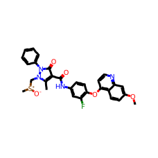 COc1ccc2c(Oc3ccc(NC(=O)c4c(C)n(C[S+](C)[O-])n(-c5ccccc5)c4=O)cc3F)ccnc2c1